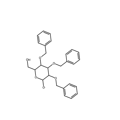 [O]C1OC(CO)C(OCc2ccccc2)C(OCc2ccccc2)C1OCc1ccccc1